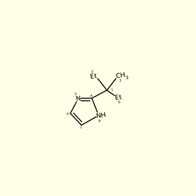 CCC(C)(CC)c1ncc[nH]1